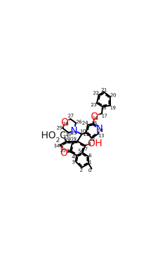 Cc1ccc2c(c1)c(O)c(C(c1ccnc(OCc3ccccc3)c1)N1CCOCC1)c1c(C(=O)O)coc12